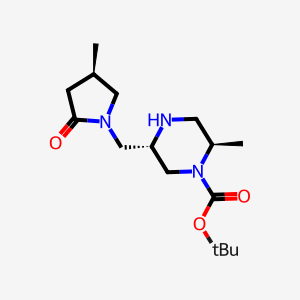 C[C@@H]1CC(=O)N(C[C@H]2CN(C(=O)OC(C)(C)C)[C@H](C)CN2)C1